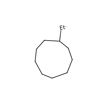 C[CH]C1CCCCCCCC1